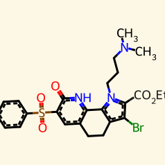 CCOC(=O)c1c(Br)c2c(n1CCCN(C)C)-c1[nH]c(=O)c(S(=O)(=O)c3ccccc3)cc1CC2